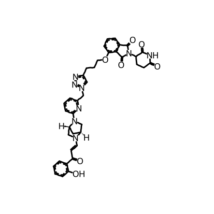 O=C1CCC(N2C(=O)c3cccc(OCCCc4cn(Cc5cccc(N6C[C@@H]7C[C@@H]6CN7/C=C/C(=O)c6ccccc6O)n5)nn4)c3C2=O)C(=O)N1